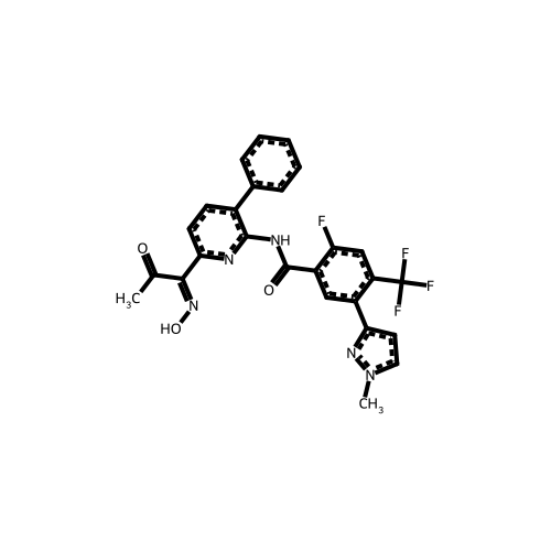 CC(=O)C(=NO)c1ccc(-c2ccccc2)c(NC(=O)c2cc(-c3ccn(C)n3)c(C(F)(F)F)cc2F)n1